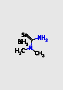 CN(C)C(N)=[Se].[BiH3]